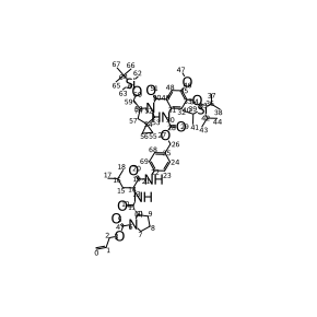 C=CCOC(=O)N1CCC[C@H]1C(=O)NC(CC(C)C)C(=O)Nc1ccc(COC(=O)Nc2cc(O[Si](C(C)C)(C(C)C)C(C)C)c(OC)cc2C(=O)N2CC3(CC3)C[C@H]2CO[Si](C)(C)C(C)(C)C)cc1